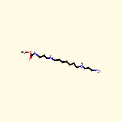 CC(C)(C)OC(=O)NCCCNCCCCCCCNCCCN